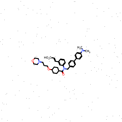 CN(C)c1ccc(-c2ccc(CN(C(=O)C3CCC(OCCCN4CCOCC4)CC3)c3cccc(C=CC(=O)O)c3)cc2)cc1